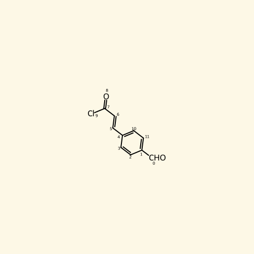 O=Cc1ccc(C=CC(=O)Cl)cc1